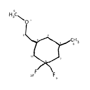 COCC1CC(C)CC(F)(F)C1